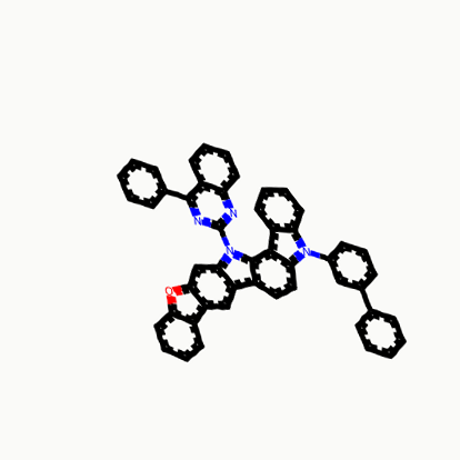 c1ccc(-c2cccc(-n3c4ccccc4c4c3ccc3c5cc6c(cc5n(-c5nc(-c7ccccc7)c7ccccc7n5)c34)oc3ccccc36)c2)cc1